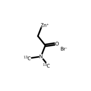 [13CH3]N([13CH3])C(=O)[CH2][Zn+].[Br-]